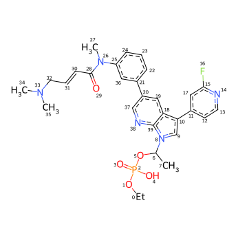 CCOP(=O)(O)OC(C)n1cc(-c2ccnc(F)c2)c2cc(-c3cccc(N(C)C(=O)C=CCN(C)C)c3)cnc21